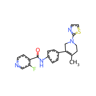 CC1=C(c2ccc(NC(=O)c3ccncc3F)cc2)CN(c2nccs2)CC1